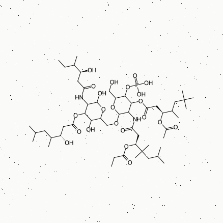 CCC(=O)O[C@@H](CC(=O)NC1C(OCC2OC(O)C(NC(=O)C[C@H](O)C(C)CC)C(OC(=O)C[C@H](O)C(C)CC(C)C)C2O)OC(CO)C(OP(=O)(O)O)C1OC(=O)C[C@H](OC(C)=O)C(C)CC(C)(C)C)C(C)(C)CC(C)C